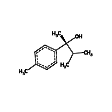 Cc1ccc([C@](C)(O)C(C)C)cc1